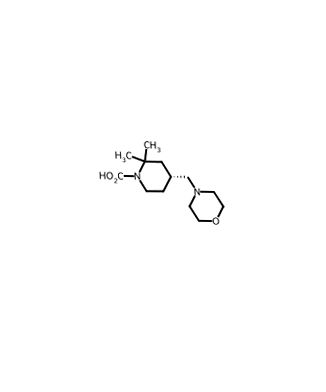 CC1(C)C[C@H](CN2CCOCC2)CCN1C(=O)O